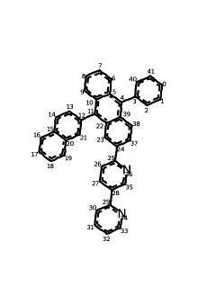 c1ccc(-c2c3ccccc3c(-c3ccc4ccccc4c3)c3cc(-c4ccc(-c5ccccn5)cn4)ccc23)cc1